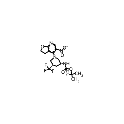 CC(C)(C)OC(=O)N[C@H]1C[C@@H](C(F)(F)F)CN(c2c([N+](=O)[O-])cnc3c2CCO3)C1